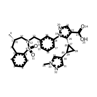 C[C@H]1Cc2ccccc2S(=O)(=O)N(Cc2cccc(-n3ncc(C(=O)O)c3[C@@H]3C[C@H]3c3cnn(C)c3)c2)C1